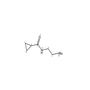 CCCCCCNC(=O)C1CC1